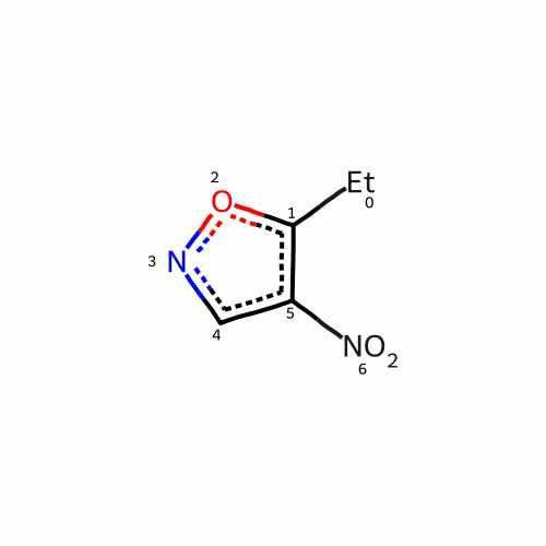 CCc1oncc1[N+](=O)[O-]